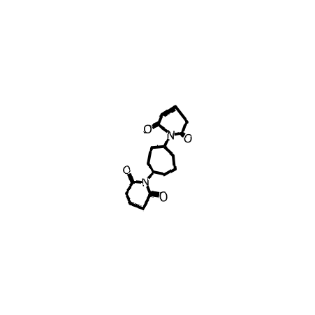 O=C1C=CCC(=O)N1C1CCCC(N2C(=O)CCCC2=O)CC1